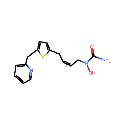 NC(=O)N(O)C/C=C\Cc1ccc(Cc2ccccn2)s1